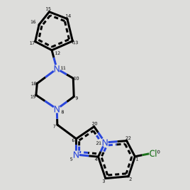 Clc1ccc2nc(CN3CCN(c4[c]cccc4)CC3)cn2c1